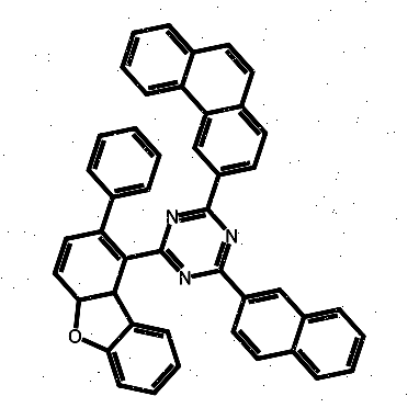 C1=CC2Oc3ccccc3C2C(c2nc(-c3ccc4ccccc4c3)nc(-c3ccc4ccc5ccccc5c4c3)n2)=C1c1ccccc1